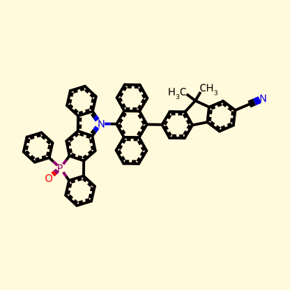 CC1(C)c2cc(C#N)ccc2-c2ccc(-c3c4ccccc4c(-n4c5ccccc5c5cc6c(cc54)-c4ccccc4P6(=O)c4ccccc4)c4ccccc34)cc21